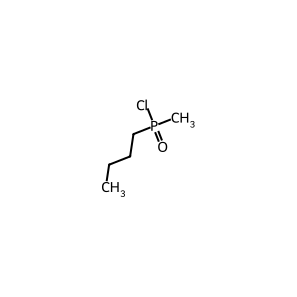 CCCCP(C)(=O)Cl